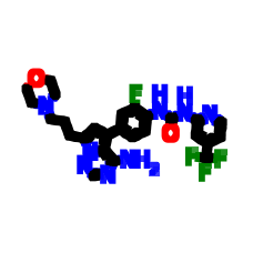 Nc1ncnn2c(CCCN3CCOCC3)cc(-c3ccc(NC(=O)Nc4cc(C(F)(F)F)ccn4)c(F)c3)c12